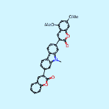 COc1cc(OC)c2cc(-c3ccc4c5ccc(-c6cc7ccccc7oc6=O)cc5n(C)c4c3)c(=O)oc2c1